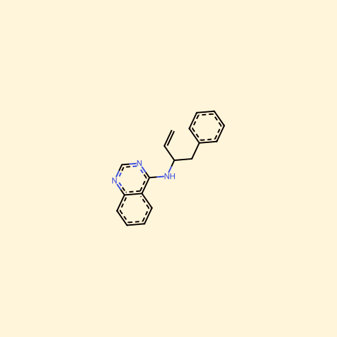 C=CC(Cc1ccccc1)Nc1ncnc2ccccc12